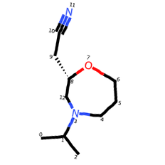 CC(C)N1CCCO[C@@H](CC#N)C1